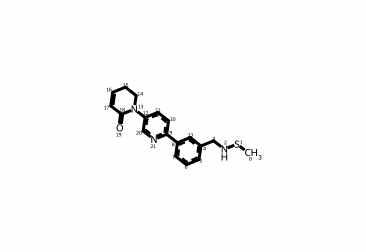 CSNCc1cccc(-c2ccc(N3CCC=CC3=O)cn2)c1